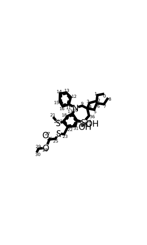 CCCCC1(CCCC)CN(c2ccccc2)c2cc(SC)c(CSCC(=O)OCC)cc2S(O)(O)C1